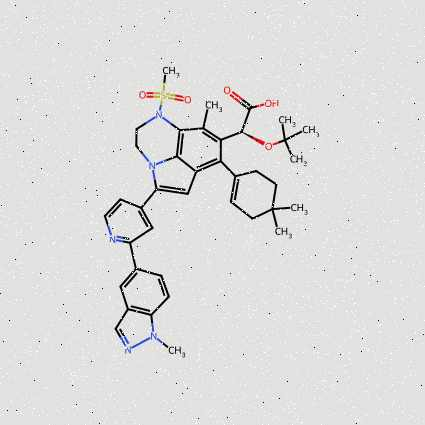 Cc1c([C@H](OC(C)(C)C)C(=O)O)c(C2=CCC(C)(C)CC2)c2cc(-c3ccnc(-c4ccc5c(cnn5C)c4)c3)n3c2c1N(S(C)(=O)=O)CC3